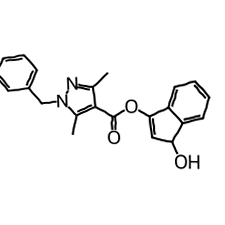 Cc1nn(Cc2ccccc2)c(C)c1C(=O)OC1=CC(O)c2ccccc21